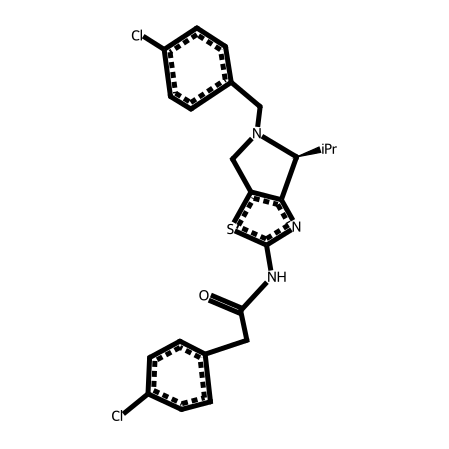 CC(C)[C@H]1c2nc(NC(=O)Cc3ccc(Cl)cc3)sc2CN1Cc1ccc(Cl)cc1